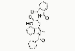 Cc1c(CC(C(=O)O)N2C(=O)c3ccccc3C2=O)c2ccccc2n1C(=O)c1ccccc1